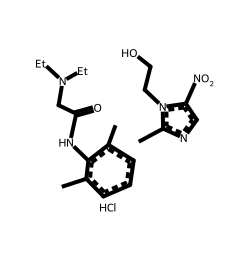 CCN(CC)CC(=O)Nc1c(C)cccc1C.Cc1ncc([N+](=O)[O-])n1CCO.Cl